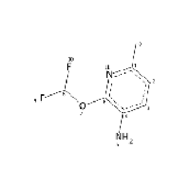 Cc1ccc(N)c(OC(F)F)n1